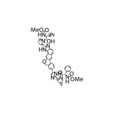 COC(=O)NC(C(=O)N1C[C@@H](C)C[C@H]1c1ncc(-c2ccc3c(c2)COc2cc4c(ccc5nc([C@@H]6CC[C@H](C)N6C(O)C(NC(=O)OC)C(C)C)[nH]c54)cc2-3)[nH]1)c1ccccc1